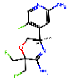 C[C@@]1(c2cc(N)ncc2F)COC(CF)(CF)C(N)=N1